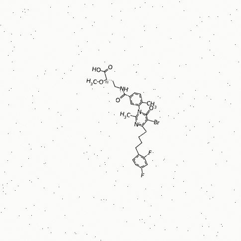 CO[C@@H](CCNC(=O)c1ccc(C)c(-n2c(C)nc(CCCCc3ccc(F)cc3F)c(Br)c2=O)c1)C(=O)O